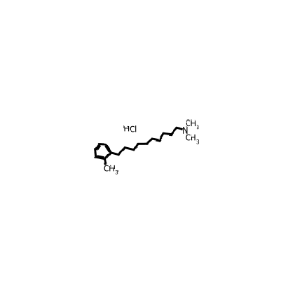 Cc1ccccc1CCCCCCCCCCN(C)C.Cl